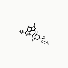 COC(=O)[C@@H]1C[C@@H]2C[C@@H](C[C@@H](Nc3c(C(N)=O)cnc4[nH]ccc34)C2)C1